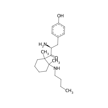 CCCCNC1(C)CCCCC1(C)C(=O)[C@@H](N)Cc1ccc(O)cc1